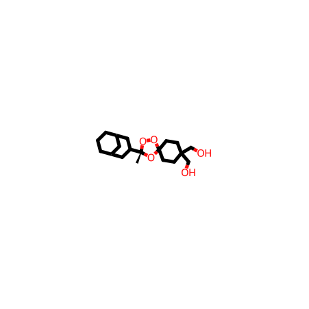 C[C@@]1(C2CC3CCCC(C3)C2)OOC2(CCC(CO)(CO)CC2)O1